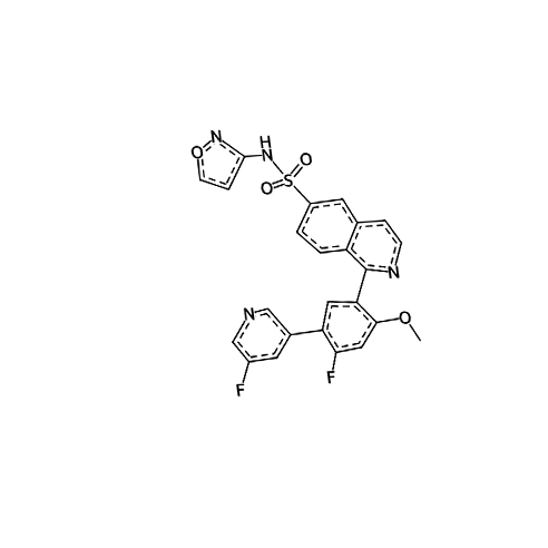 COc1cc(F)c(-c2cncc(F)c2)cc1-c1nccc2cc(S(=O)(=O)Nc3ccon3)ccc12